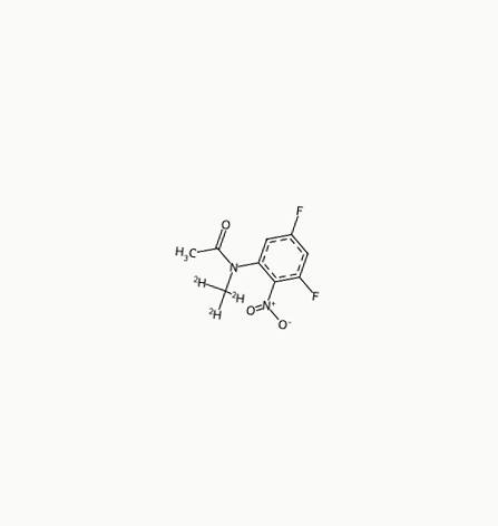 [2H]C([2H])([2H])N(C(C)=O)c1cc(F)cc(F)c1[N+](=O)[O-]